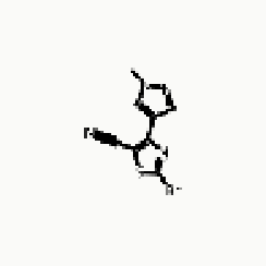 Cn1cc(-c2nc(Br)sc2C#N)cn1